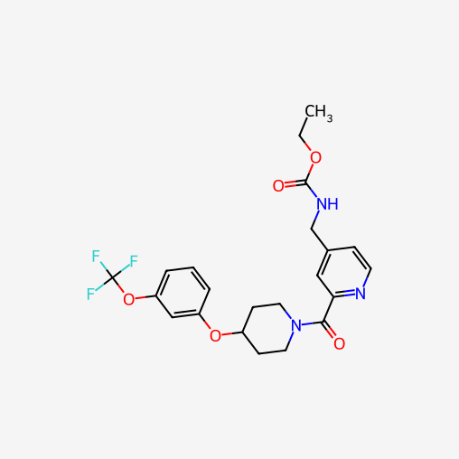 CCOC(=O)NCc1ccnc(C(=O)N2CCC(Oc3cccc(OC(F)(F)F)c3)CC2)c1